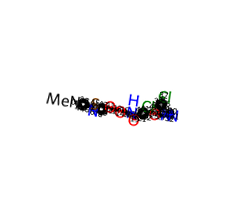 CNc1ccc(-c2nc3ccc(OCCOCCNC(=O)c4ccc(COC(Cn5ccnc5)c5ccc(Cl)cc5Cl)cc4)cc3s2)cc1